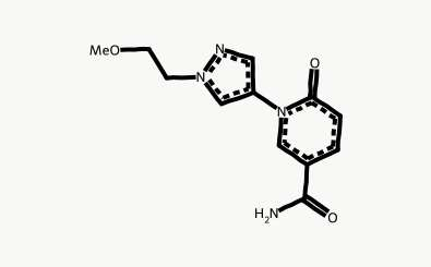 COCCn1cc(-n2cc(C(N)=O)ccc2=O)cn1